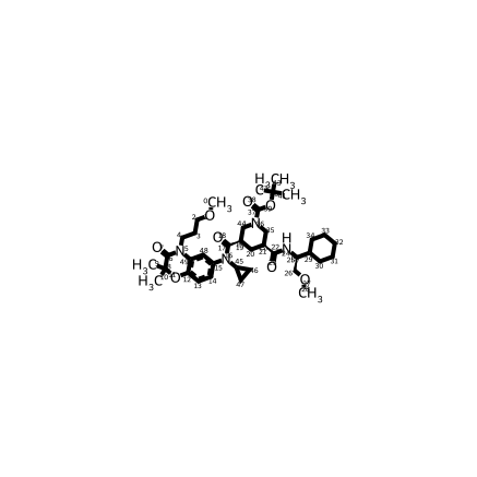 COCCCN1C(=O)C(C)(C)Oc2ccc(N(C(=O)[C@@H]3C[C@H](C(=O)N[C@H](COC)C4CCCCC4)CN(C(=O)OC(C)(C)C)C3)C3CC3)cc21